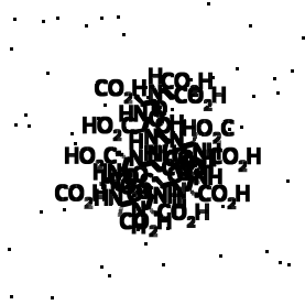 N[C@@H](CC(=O)O)C(=O)N[C@@H](CC(=O)O)C(=O)N[C@@H](CC(=O)O)C(=O)N[C@@H](CC(=O)O)C(=O)N[C@@H](CC(=O)O)C(=O)N[C@@H](CC(=O)O)C(=O)N[C@@H](CC(=O)O)C(=O)N[C@@H](CC(=O)O)C(=O)N[C@@H](CC(=O)O)C(=O)N[C@@H](CC(=O)O)C(=O)N[C@@H](CC(=O)O)C(=O)N[C@@H](CC(=O)O)C(=O)N[C@@H](CC(=O)O)C(=O)O